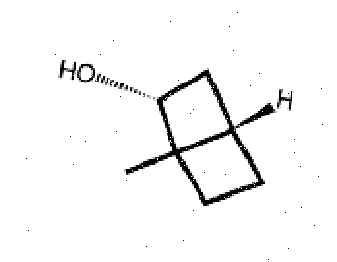 CC12CC[C@H]1C[C@H]2O